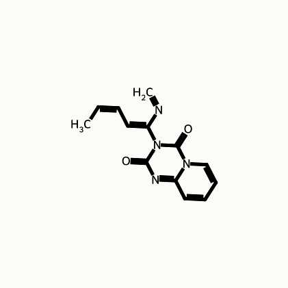 C=N/C(=C\C=C/C)n1c(=O)nc2ccccn2c1=O